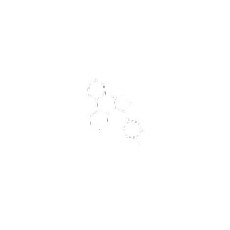 Fc1ccc(C2CCN3c4ccccc4C4=NCCCN4C23)cc1